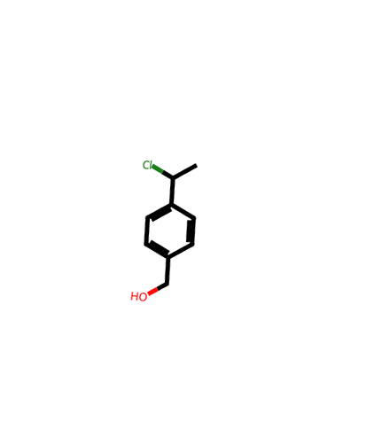 CC(Cl)c1ccc(CO)cc1